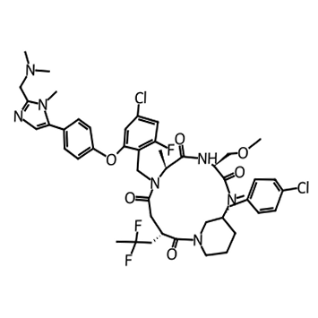 COC[C@@H]1NC(=O)[C@H](C)N(Cc2c(F)cc(Cl)cc2Oc2ccc(-c3cnc(CN(C)C)n3C)cc2)C(=O)C[C@@H](CC(C)(F)F)C(=O)N2CCC[C@@](Cc3ccc(Cl)cc3)(C2)N(C)C1=O